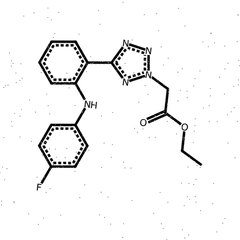 CCOC(=O)Cn1nnc(-c2ccccc2Nc2ccc(F)cc2)n1